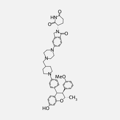 COc1cccc([C@@H]2C(c3ccc(N4CCC(CN5CCN(c6ccc7c(c6)CN([C@H]6CCC(=O)NC6=O)C7=O)CC5)CC4)cc3)c3ccc(O)cc3O[C@H]2C)c1